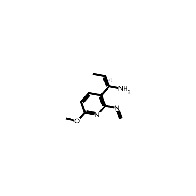 C=Nc1nc(OC)ccc1/C(N)=C\C